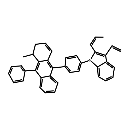 C=Cc1c(/C=C\C)n(-c2ccc(-c3c4c(c(-c5ccccc5)c5ccccc35)C(C)CC=C4)cc2)c2ccccc12